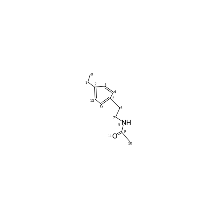 CCc1ccc(CCNC(C)=O)cc1